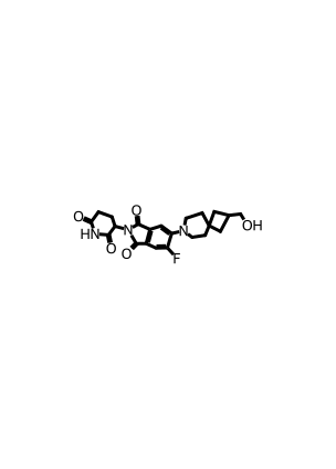 O=C1CCC(N2C(=O)c3cc(F)c(N4CCC5(CC4)CC(CO)C5)cc3C2=O)C(=O)N1